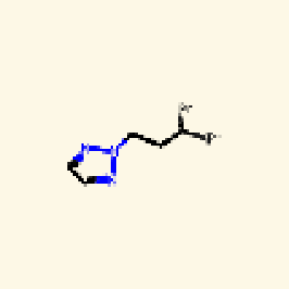 CC(C)C(CCn1nccn1)C(C)C